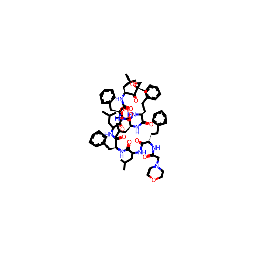 CC(C)CC(NC(=O)[C@H](CCc1ccccc1)NC(=O)CN1CCOCC1)C(=O)N[C@@H](Cc1ccccc1)C(=O)NC(CC(C)C)C(=O)[C@](C)(O)CN[C@@H](CCc1ccccc1)C(=O)N[C@@H](CC(C)C)C(=O)N[C@@H](Cc1ccccc1)C(=O)N[C@@H](CC(C)C)C(=O)[C@@]1(C)CO1